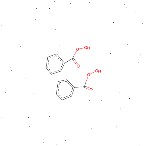 O=C(OO)c1ccccc1.O=C(OO)c1ccccc1